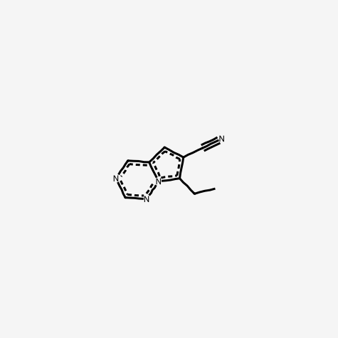 CCc1c(C#N)cc2cncnn12